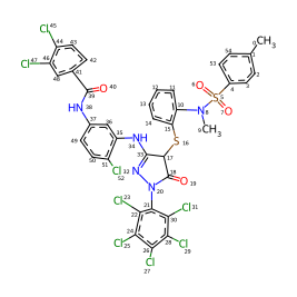 Cc1ccc(S(=O)(=O)N(C)c2ccccc2SC2C(=O)N(c3c(Cl)c(Cl)c(Cl)c(Cl)c3Cl)N=C2Nc2cc(NC(=O)c3ccc(Cl)c(Cl)c3)ccc2Cl)cc1